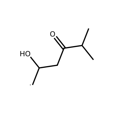 [CH2]C(O)CC(=O)C(C)C